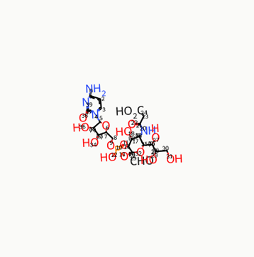 Nc1ccn(C2OC(COP(=O)(O)O[C@@]3(C=O)C[C@@H](O)[C@@H](NC(=O)CC(=O)O)C([C@H](O)[C@H](O)CO)O3)[C@@H](O)[C@H]2O)c(=O)n1